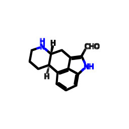 O=Cc1[nH]c2cccc3c2c1C[C@H]1NCCC[C@H]31